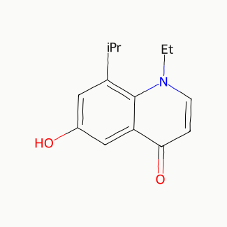 CCn1ccc(=O)c2cc(O)cc(C(C)C)c21